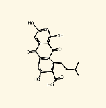 CC(C)CCc1c(C(=O)O)c(O)cc2c1C(=O)c1c(O)cc(O)cc1C2=O